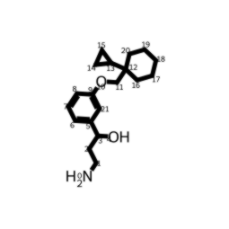 NCCC(O)c1cccc(OCC2(C3CC3)CCCCC2)c1